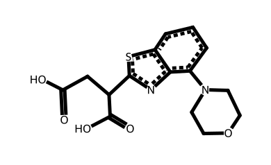 O=C(O)CC(C(=O)O)c1nc2c(N3CCOCC3)cccc2s1